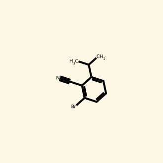 [CH2]C(C)c1cccc(Br)c1C#N